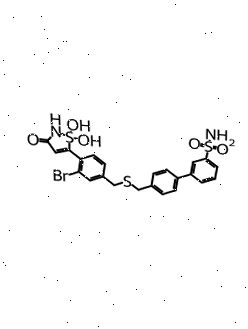 NS(=O)(=O)c1cccc(-c2ccc(CSCc3ccc(C4=CC(=O)NS4(O)O)c(Br)c3)cc2)c1